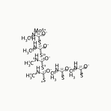 CNC([O-])=S.CNC([O-])=S.CNC([O-])=S.CNC([O-])=S.CNC([O-])=S.CNC([O-])=S.[Mo+6]